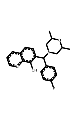 CC1CN(C(c2ccc(F)cc2)c2ccc3cccnc3c2O)CC(C)O1